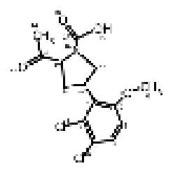 COc1ccc(Cl)c(Cl)c1[C@H]1C[C@@H](C(C)=O)N(C(=O)O)C1